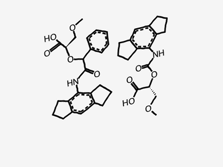 COC[C@@H](OC(=O)Nc1c2c(cc3c1CCC3)CCC2)C(=O)O.COC[C@@H](OC(C(=O)Nc1c2c(cc3c1CCC3)CCC2)c1ccccc1)C(=O)O